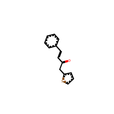 O=C(C=Cc1ccccc1)Cc1cccs1